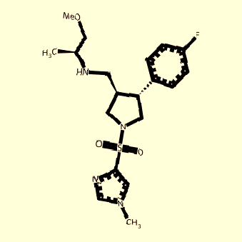 COC[C@H](C)NC[C@@H]1CN(S(=O)(=O)c2cn(C)cn2)C[C@H]1c1ccc(F)cc1